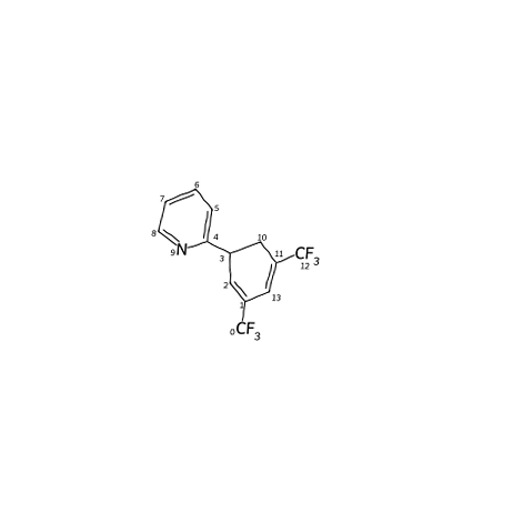 FC(F)(F)C1=CC(c2ccccn2)CC(C(F)(F)F)=C1